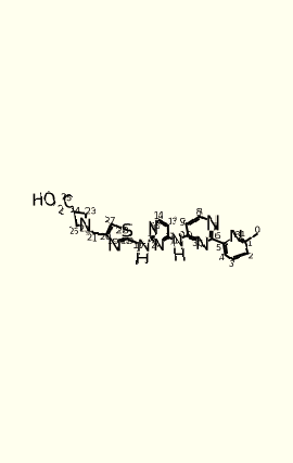 Cc1cccc(-c2nccc(Nc3ccnc(Nc4nc(CN5CC(C(=O)O)C5)cs4)n3)n2)n1